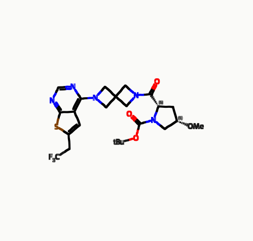 CO[C@H]1C[C@@H](C(=O)N2CC3(C2)CN(c2ncnc4sc(CC(F)(F)F)cc24)C3)N(C(=O)OC(C)(C)C)C1